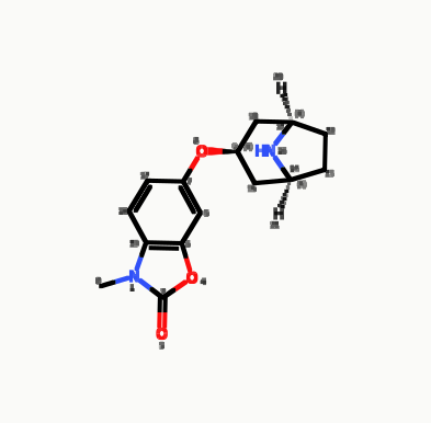 Cn1c(=O)oc2cc(O[C@H]3C[C@H]4CC[C@@H](C3)N4)ccc21